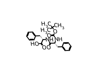 CC(C)(C)OC(=O)N[C@H](Cc1ccccc1)C(=O)N[C@@H](Cc1ccccc1)C(=O)O